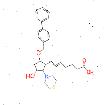 O=C(O)CCCC=CCC1C(OCc2ccc(-c3ccccc3)cc2)CC(O)C1N1CCSCC1